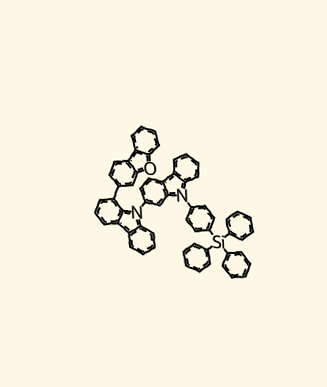 c1ccc([Si](c2ccccc2)(c2ccccc2)c2ccc(-n3c4ccccc4c4ccc(-n5c6ccccc6c6cccc(-c7ccc8c(c7)oc7ccccc78)c65)cc43)cc2)cc1